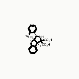 O=C(O)C1(C(=O)O)N[C@@H](c2ccccc2O)[C@]2([N+](=O)[O-])Oc3ccccc3[C@H]12